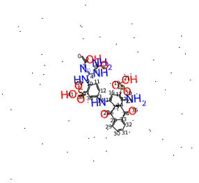 C=C(O)/N=C(\NC(N)=O)Nc1ccc(Nc2cc(S(=O)(=O)O)c(N)c3c2C(=O)c2ccccc2C3=O)cc1S(=O)(=O)O